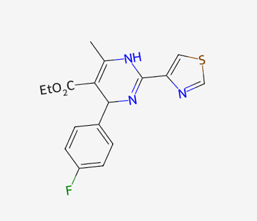 CCOC(=O)C1=C(C)NC(c2cscn2)=NC1c1ccc(F)cc1